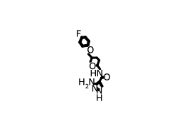 Nc1n[nH]cc1C(=O)NCC1CCC(COc2ccc(F)cc2)CO1